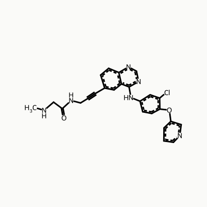 CNCC(=O)NCC#Cc1ccc2ncnc(Nc3ccc(Oc4cccnc4)c(Cl)c3)c2c1